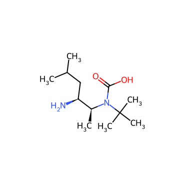 CC(C)C[C@H](N)[C@H](C)N(C(=O)O)C(C)(C)C